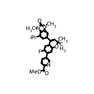 COC(=O)c1ccc(-c2cc3c(cc2F)C(c2cc(C(C)C)c4c(c2)n(C)c(=O)n4C)=CC(C)(C)O3)cn1